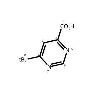 CC(C)(C)c1cc(C(=O)O)ncn1